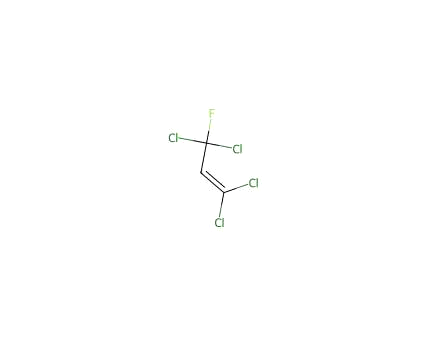 FC(Cl)(Cl)C=C(Cl)Cl